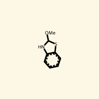 CO[C]1Nc2ccccc2S1